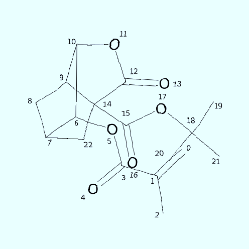 C=C(C)C(=O)OC1C2CC3C1OC(=O)C3(C(=O)OC(C)(C)C)C2